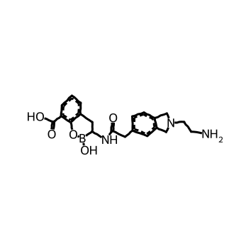 NCCN1Cc2ccc(CC(=O)NC3Cc4cccc(C(=O)O)c4OB3O)cc2C1